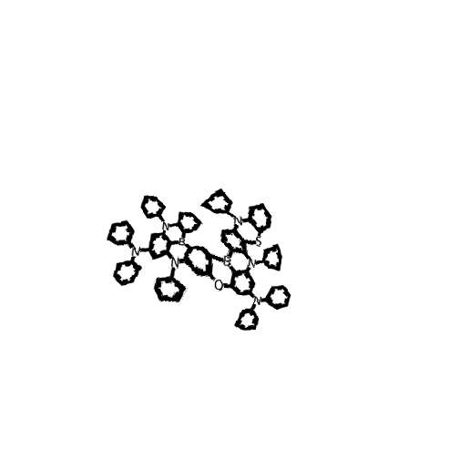 c1ccc(N(c2ccccc2)c2cc3c4c(c2)N(c2ccccc2)c2c(ccc5c2Sc2ccccc2N5c2ccccc2)B4c2cc4c(cc2O3)N(c2ccccc2)c2cc(N(c3ccccc3)c3ccccc3)cc3c2B4c2ccccc2N3c2ccccc2)cc1